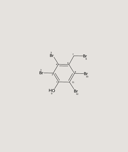 Oc1c(Br)c(Br)c(CBr)c(Br)c1Br